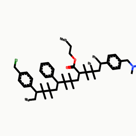 CCC(C)(CC(c1ccc(CN(C)C)cc1)C(C)C)C(C)(C)C(CC(C)(C)C(C)(C)C(CC(C)(C)C(C)(C)C(CC(C)(C)C)c1ccc(CCl)cc1)c1ccccc1)C(=O)OCCOC